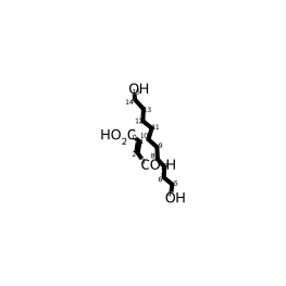 O=C(O)/C=C/C(=O)O.OCCCCCCCCCCO